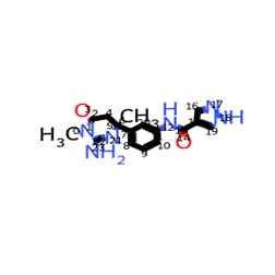 CN1C(=O)C[C@@](C)(c2cccc(NC(=O)c3cn[nH]c3)c2)N=C1N